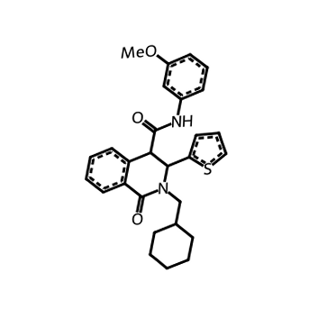 COc1cccc(NC(=O)C2c3ccccc3C(=O)N(CC3CCCCC3)C2c2cccs2)c1